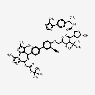 Cc1ncsc1-c1ccc([C@H](C)NC(=O)[C@@H]2C[C@@H](O)CN2C(=O)C(NC(=O)COc2ccc(-c3ccc(C4=NC(NC(=O)OC(C)(C)C)c5nnc(C)n5-c5sc(C)c(C)c54)cc3)cc2C#N)C(C)(C)C)cc1